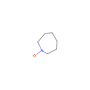 [O]N1CCCCCC1